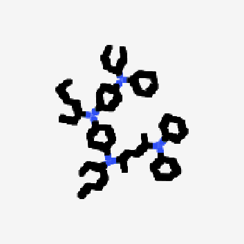 C=C/C=C\C(=C/C)N(/C(C)=C/C=C(\C)N(c1ccccc1)c1ccccc1)c1ccc(N(/C(C=C)=C/C=C\C)c2ccc(N(C(/C=C\C)=C/C)c3ccccc3)cc2)cc1